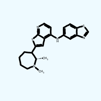 C[C@H]1C(c2cc3c(Nc4ccc5scnc5c4)ccnc3s2)CCCCN1C